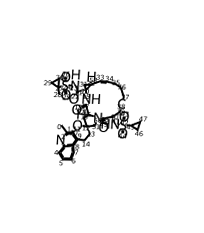 Cc1nc2ccccc2c2c1O[C@]1(CC2)C[C@H]2C(=O)N[C@]3(C(=O)NS(=O)(=O)C4(C)CC4)C[C@H]3C=CCCCCC[C@H](NS(=O)(=O)C3CC3)C(=O)N2C1